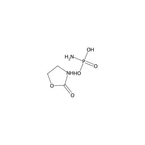 NP(=O)(O)O.O=C1NCCO1